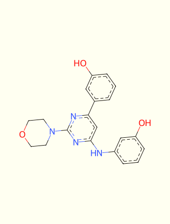 Oc1cccc(Nc2cc(-c3cccc(O)c3)nc(N3CCOCC3)n2)c1